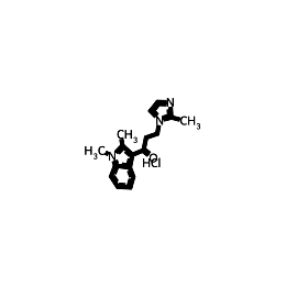 Cc1nccn1CCC(=O)c1c(C)n(C)c2ccccc12.Cl